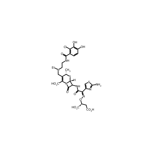 CCN(CCNC(=O)c1ccc(O)c(O)c1Cl)CC1=C(C(=O)O)N2C(=O)C(NC(=O)/C(=N\O[C@@H](CC(=O)O)C(=O)O)c3csc(N)n3)[C@H]2S[C@H]1C